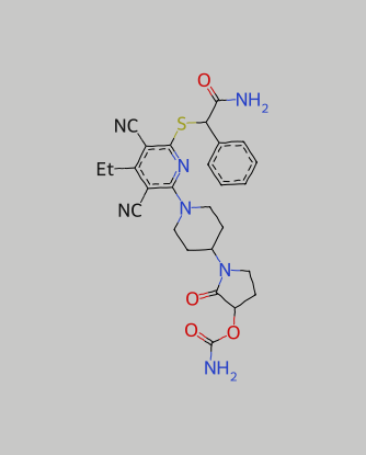 CCc1c(C#N)c(SC(C(N)=O)c2ccccc2)nc(N2CCC(N3CCC(OC(N)=O)C3=O)CC2)c1C#N